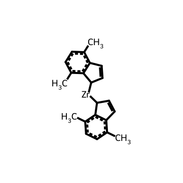 Cc1ccc(C)c2c1C=C[CH]2[Zr][CH]1C=Cc2c(C)ccc(C)c21